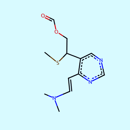 CSC(COC=O)c1cncnc1C=CN(C)C